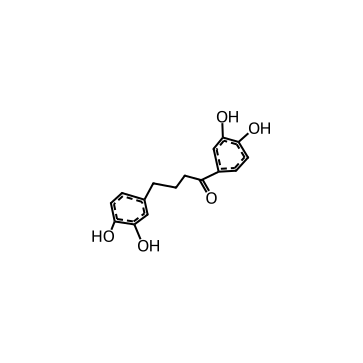 O=C(CCCc1ccc(O)c(O)c1)c1ccc(O)c(O)c1